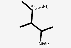 CC[C@@H](C)C(C)C(C)NC